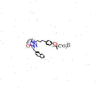 CCOC(=O)C(C)(C)Oc1ccc(CCCc2nn(Cc3ccc4ccccc4c3)c(=O)n2CC)cc1